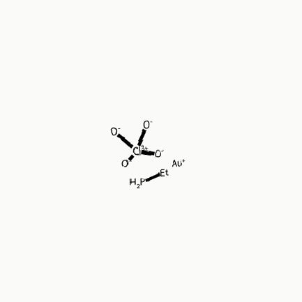 CCP.[Au+].[O-][Cl+3]([O-])([O-])[O-]